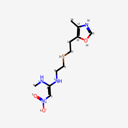 CNC(=C[N+](=O)[O-])NCCSCCc1ocnc1C